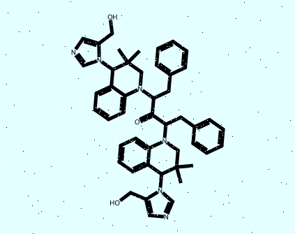 CC1(C)CN(C(Cc2ccccc2)C(=O)C(Cc2ccccc2)N2CC(C)(C)C(n3cncc3CO)c3ccccc32)c2ccccc2C1n1cncc1CO